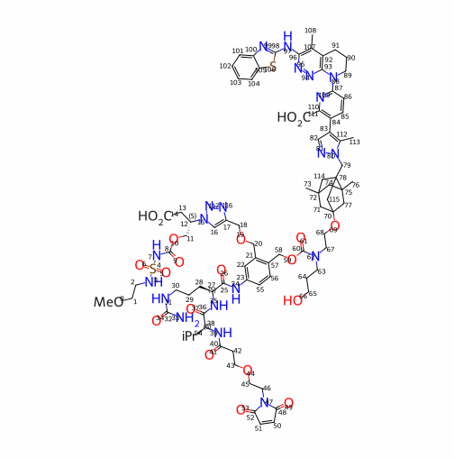 COCCNS(=O)(=O)NC(=O)OC[C@H](CC(=O)O)n1cc(COCc2cc(NC(=O)[C@H](CCCNC(N)=O)NC(=O)[C@@H](NC(=O)CCOCCN3C(=O)C=CC3=O)C(C)C)ccc2COC(=O)N(CCCO)CCOC23CC4(C)CC(C)(C2)C(Cn2ncc(-c5ccc(N6CCCc7c6nnc(Nc6nc8ccccc8s6)c7C)nc5C(=O)O)c2C)(C4)C3)nn1